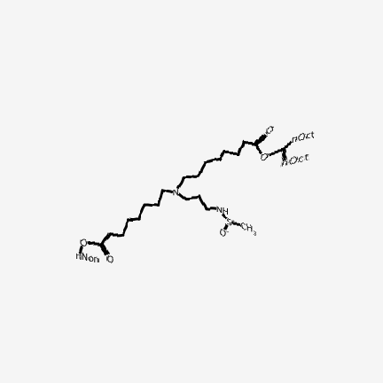 CCCCCCCCCOC(=O)CCCCCCCN(CCCCCCCC(=O)OC(CCCCCCCC)CCCCCCCC)CCCN[S+](C)[O-]